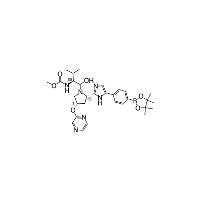 COC(=O)N[C@@H](C(C)C)C(O)N1C[C@@H](Oc2cnccn2)C[C@H]1c1ncc(-c2ccc(B3OC(C)(C)C(C)(C)O3)cc2)[nH]1